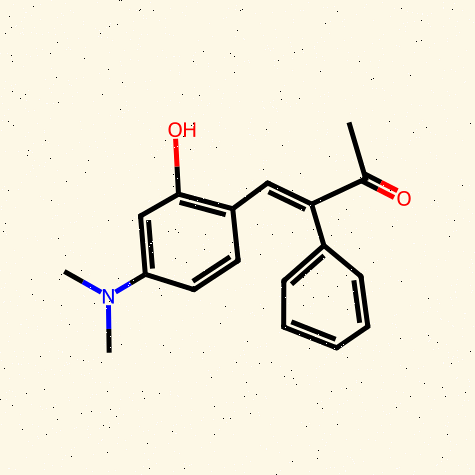 CC(=O)/C(=C/c1ccc(N(C)C)cc1O)c1ccccc1